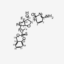 Nc1ccn([C@@H]2O[C@@](COP3(=S)OCc4ccccc4O3)(C(F)F)C(F)(F)[C@@H]2O)c(=O)n1